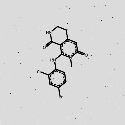 Cn1c(Nc2ccc(Br)cc2Cl)c2c(cc1=O)CCNC2=O